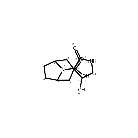 O=C(O)N1C2CCC1CC1(C2)C(=O)NCC1O